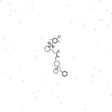 Cc1cc(S(=O)(=O)N2CCCCC2CCC(=O)N(C)CC2CCC(CCc3ccccc3)(N3CCCC3)CC2)c(C)cc1Cl